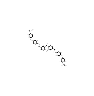 O=C(Nc1ccc(Nc2ccc([N+](=O)[O-])cc2)cc1)c1ccc2c(c1)C(=O)c1ccc(C(=O)Nc3ccc(Nc4ccc([N+](=O)[O-])cc4)cc3)cc1C2=O